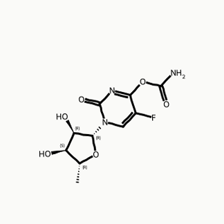 C[C@H]1O[C@@H](n2cc(F)c(OC(N)=O)nc2=O)[C@H](O)[C@@H]1O